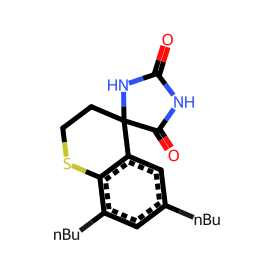 CCCCc1cc(CCCC)c2c(c1)C1(CCS2)NC(=O)NC1=O